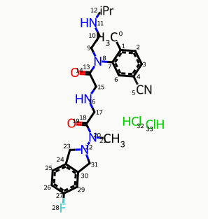 Cc1ccc(C#N)cc1N(CCNC(C)C)C(=O)CNCC(=O)N(C)N1Cc2ccc(F)cc2C1.Cl.Cl